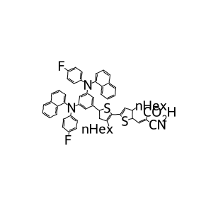 CCCCCCC1=C(C2=CC(CCCCCC)C(/C=C(/C#N)C(=O)O)S2)SC(c2cc(N(c3ccc(F)cc3)c3cccc4ccccc34)cc(N(c3ccc(F)cc3)c3cccc4ccccc34)c2)C1